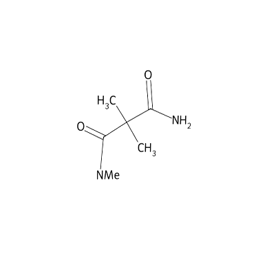 CNC(=O)C(C)(C)C(N)=O